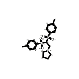 Cc1ccc(S(=O)(=O)C(CN2CCCC2)S(=O)(=O)c2ccc(C)cc2)cc1